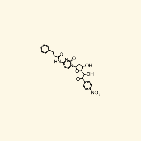 O=C(CCc1ccccc1)Nc1ccn([C@H]2C[C@H](O)[C@@H](C(O)C(=O)c3ccc([N+](=O)[O-])cc3)O2)c(=O)n1